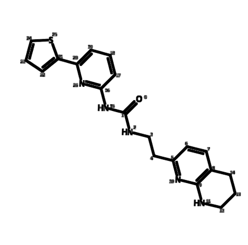 O=C(NCCc1ccc2c(n1)NCCC2)Nc1cccc(-c2cccs2)n1